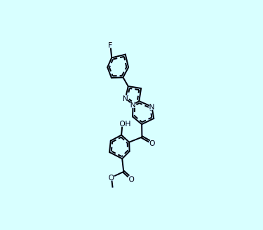 COC(=O)c1ccc(O)c(C(=O)c2cnc3cc(-c4ccc(F)cc4)nn3c2)c1